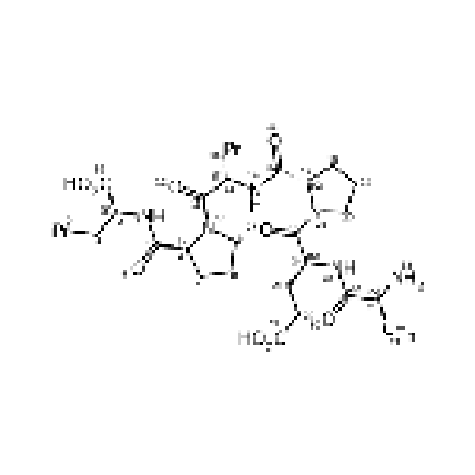 CC(C)C[C@H](NC(=O)[C@@H]1CCCN1C(=O)[C@@H](NC(=O)[C@@H]1CCCN1C(=O)[C@H](CCC(=O)O)NC(=O)[C@H](C)N)C(C)C)C(=O)O